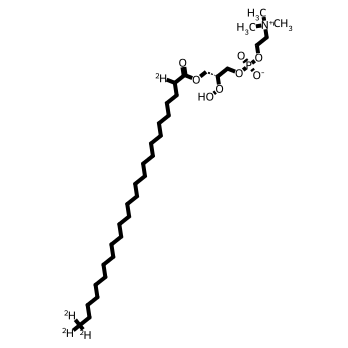 [2H]C(CCCCCCCCCCCCCCCCCCCCCCCC([2H])([2H])[2H])C(=O)OC[C@H](COP(=O)([O-])OCC[N+](C)(C)C)OO